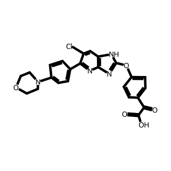 O=C(O)C(=O)c1ccc(Oc2nc3nc(-c4ccc(N5CCOCC5)cc4)c(Cl)cc3[nH]2)cc1